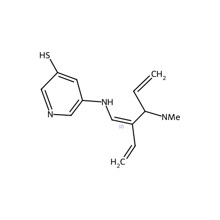 C=C/C(=C/Nc1cncc(S)c1)C(C=C)NC